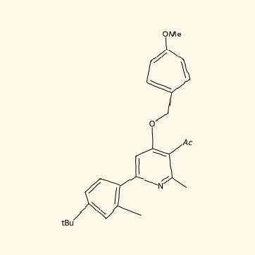 COc1ccc(COc2cc(-c3ccc(C(C)(C)C)cc3C)nc(C)c2C(C)=O)cc1